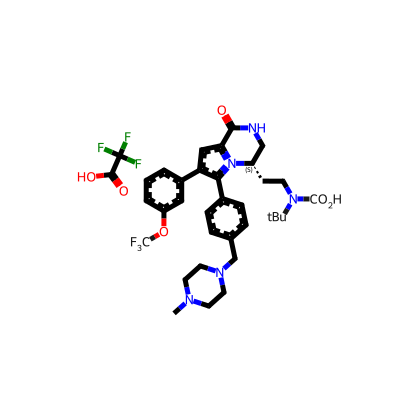 CN1CCN(Cc2ccc(-c3c(-c4cccc(OC(F)(F)F)c4)cc4n3[C@@H](CCN(C(=O)O)C(C)(C)C)CNC4=O)cc2)CC1.O=C(O)C(F)(F)F